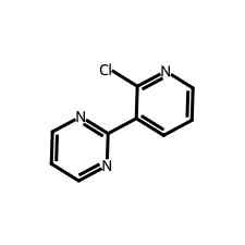 Clc1ncccc1-c1ncccn1